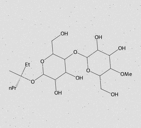 CCC[C@](C)(CC)OC1OC(CO)C(OC2OC(CO)C(OC)C(O)C2O)C(O)C1O